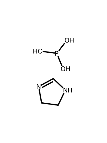 C1=NCCN1.OP(O)O